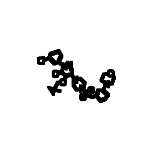 CC1(COc2c(N3CCN(S(=O)(=O)Cc4cccc(N5CCOCC5)c4)CC3)cnn(-c3cccc(Cl)c3)c2=O)CC1